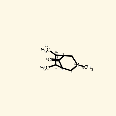 CC1C2CN(C)CC(C2=O)C1C